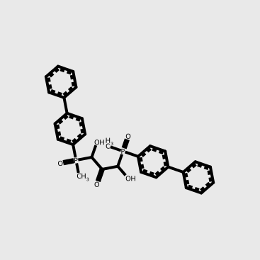 CP(=O)(c1ccc(-c2ccccc2)cc1)C(O)C(=O)C(O)P(C)(=O)c1ccc(-c2ccccc2)cc1